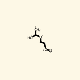 [CH2]C(O)OCCOCC